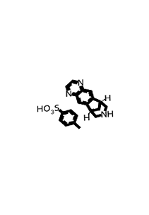 Cc1ccc(S(=O)(=O)O)cc1.c1cnc2cc3c(cc2n1)[C@@H]1CNC[C@H]3C1